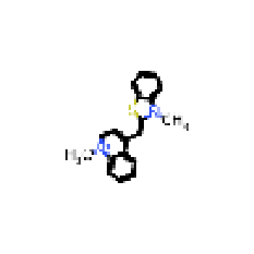 CN1c2ccccc2SC1Cc1cc[n+](C)c2ccccc12